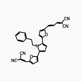 N#CC(C#N)=C/C=C/c1ccc(-c2ccc(-c3ccc(C=C(C#N)C#N)o3)n2CCc2ccccc2)o1